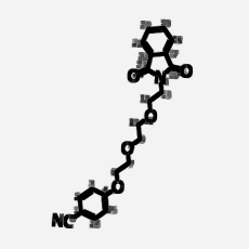 N#Cc1ccc(OCCOCCOCCN2C(=O)c3ccccc3C2=O)cc1